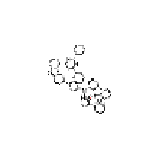 CC1(C)c2ccccc2-c2cccc(N(c3ccc(-c4ccc5oc6cccc(-c7nc(-c8ccccc8)nc(-c8ccccc8)n7)c6c5c4)cc3)c3cccc(-c4ccccc4)c3)c21